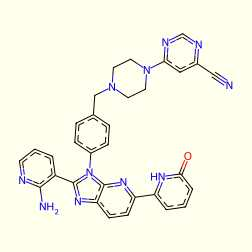 N#Cc1cc(N2CCN(Cc3ccc(-n4c(-c5cccnc5N)nc5ccc(-c6cccc(=O)[nH]6)nc54)cc3)CC2)ncn1